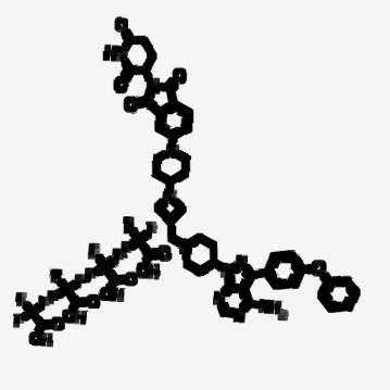 Nc1ncnc2c1c(-c1ccc(Oc3ccccc3)cc1)nn2C1CCN(CC2CN(C3CCN(c4ccc5c(c4)C(=O)N(C4CCC(=O)NC4=O)C5=O)CC3)C2)CC1.O=C(O)C(F)(F)F.O=C(O)C(F)(F)F.O=C(O)C(F)(F)F.O=C(O)C(F)(F)F